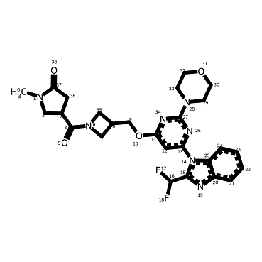 CN1CC(C(=O)N2CC(COc3cc(-n4c(C(F)F)nc5ccccc54)nc(N4CCOCC4)n3)C2)CC1=O